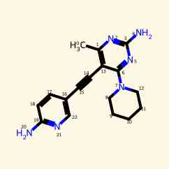 Cc1nc(N)nc(N2CCCCC2)c1C#Cc1ccc(N)nc1